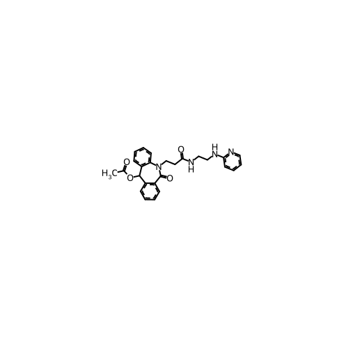 CC(=O)OC1c2ccccc2C(=O)N(CCC(=O)NCCNc2ccccn2)c2ccccc21